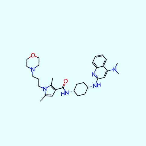 Cc1cc(C(=O)N[C@H]2CC[C@@H](Nc3cc(N(C)C)c4ccccc4n3)CC2)c(C)n1CCCN1CCOCC1